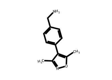 Cc1noc(C)c1-c1ccc(CN)cc1